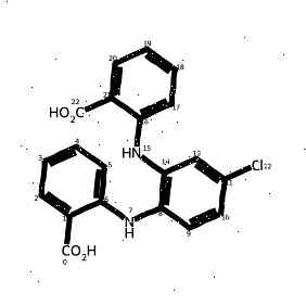 O=C(O)c1ccccc1Nc1ccc(Cl)cc1Nc1ccccc1C(=O)O